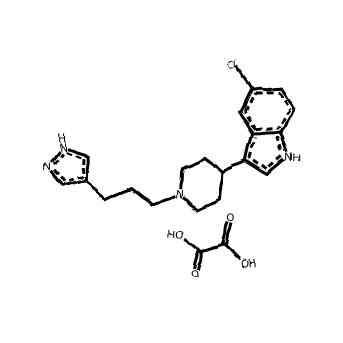 Clc1ccc2[nH]cc(C3CCN(CCCc4cn[nH]c4)CC3)c2c1.O=C(O)C(=O)O